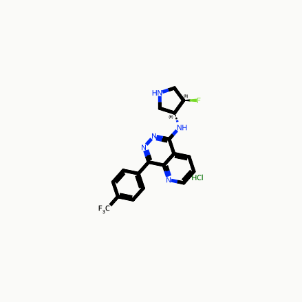 Cl.F[C@@H]1CNC[C@H]1Nc1nnc(-c2ccc(C(F)(F)F)cc2)c2ncccc12